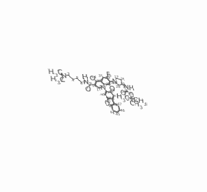 CN(C)CCCCNC(=O)c1cn2c3c(c(N4CCC(NC(=O)OC(C)(C)C)C4)c(F)cc3c1=O)Oc1cc3c(cc1-2)oc1ccccc13